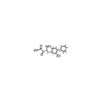 CCc1cc(C[C@H](N)C(=O)NC(C)C)ccc1-c1ccccc1